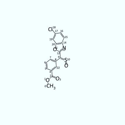 COC(=O)c1cccc(C(=S=O)c2nc3ccc(Cl)cc3o2)c1